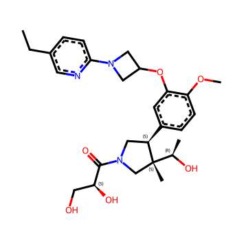 CCc1ccc(N2CC(Oc3cc([C@@H]4CN(C(=O)[C@@H](O)CO)C[C@@]4(C)[C@@H](C)O)ccc3OC)C2)nc1